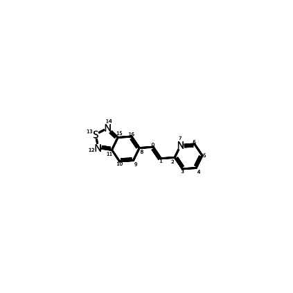 C(=Cc1ccccn1)c1ccc2nsnc2c1